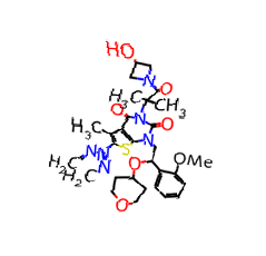 C=NN(N=C)c1sc2c(c1C)c(=O)n(C(C)(C)C(=O)N1CC(O)C1)c(=O)n2C[C@H](OC1CCOCC1)c1ccccc1OC